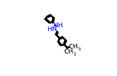 CC(C)c1ccc(C=CNNc2ccccc2)cc1